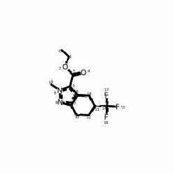 CCOC(=O)c1c2c(nn1C)CC[C@H](C(F)(F)F)C2